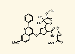 CCC1CC1(NC(=O)C1CC(Oc2cc(-c3ccccc3)nc3cc(OC)ccc23)CN1C(=O)C(N)(C(=O)OC(C)(C)C)C(C)C)C(=O)OC